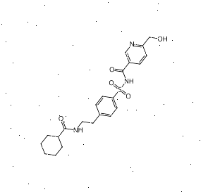 O=C(NS(=O)(=O)c1ccc(CCNC(=O)C2CCCCC2)cc1)c1ccc(CO)nc1